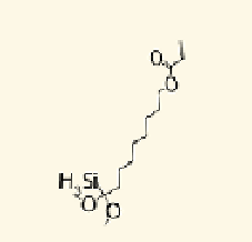 C=CC(=O)OCCCCCCCCC([SiH3])(OC)OC